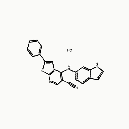 Cl.N#Cc1cnc2sc(-c3ccccc3)cc2c1Nc1ccc2cc[nH]c2c1